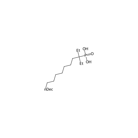 CCCCCCCCCCCCCCCCCC(CC)(CC)P(=O)(O)O